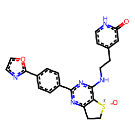 O=c1cc(CCNc2nc(-c3ccc(-c4ncco4)cc3)nc3c2[S@+]([O-])CC3)cc[nH]1